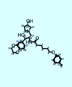 O=C(CCCCCOc1ccc(F)cc1)N[C@H](CN1CC[C@H](O)C1)[C@H](O)c1ccc2c(c1)OCCO2